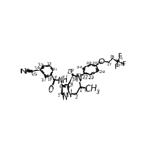 CC1Cn2ncc(NC(=O)c3cccc(C#N)c3)c2C(=O)N1c1ccc(OCCC(F)(F)F)cc1